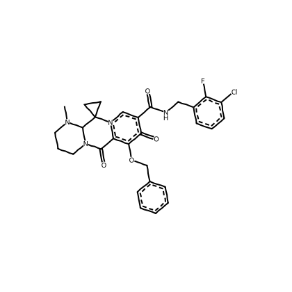 CN1CCCN2C(=O)c3c(OCc4ccccc4)c(=O)c(C(=O)NCc4cccc(Cl)c4F)cn3C3(CC3)C12